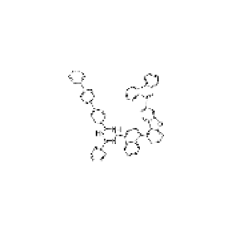 c1ccc(C2=NC(c3ccc(-c4cccc5oc6cc(-c7cc8ccccc8c8ccccc78)ccc6c45)c4ccccc34)NC(c3ccc(-c4ccc(-c5ccccc5)cc4)cc3)N2)cc1